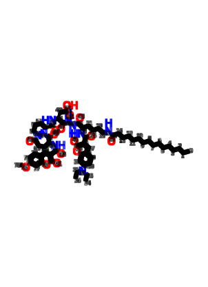 CCCCCCCCCCCCCCCC(=O)NCCCCC(NC(=O)c1cc2ccc(N(CC)CC)cc2oc1=O)C(=O)NNC(=O)[C@H](CC(=O)O)NC(=O)[C@@H]1CCCN2C(=O)CC[C@H](NC(=O)c3cc4ccc(OC)cc4oc3=O)C(=O)N12